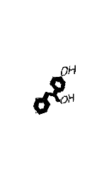 OCC(Cc1cc[c]cc1)c1ccc(O)cc1